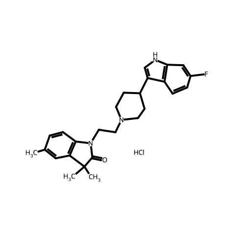 Cc1ccc2c(c1)C(C)(C)C(=O)N2CCN1CCC(c2c[nH]c3cc(F)ccc23)CC1.Cl